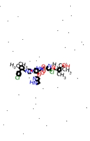 C[C@H]1C[C@@H](C(C)(C)O)C[C@@H]1COc1ncc(S(=O)(=O)NC(=O)c2ccc(N3CCN(CC4=C(c5ccc(Cl)cc5)CC(C)(C)CC4)CC3)cc2Oc2cnc3[nH]ccc3c2)cc1Cl